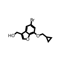 OCc1coc2c(OCC3CC3)cc(Br)cc12